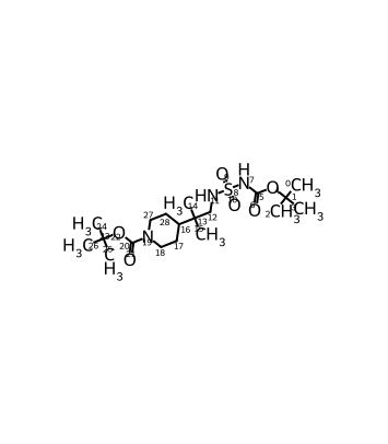 CC(C)(C)OC(=O)NS(=O)(=O)NCC(C)(C)C1CCN(C(=O)OC(C)(C)C)CC1